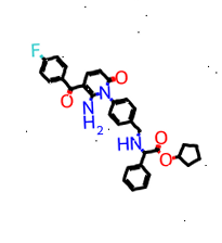 Nc1c(C(=O)c2ccc(F)cc2)ccc(=O)n1-c1ccc(CNC(C(=O)OC2CCCC2)c2ccccc2)cc1